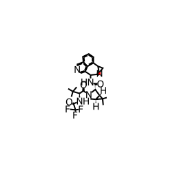 CC(C)(C)[C@H](NC(=O)C(F)(F)F)C(=O)N1C[C@H]2[C@@H]([C@H]1C(=O)NC(C#N)c1cncc3cccc(C4CC4)c13)C2(C)C